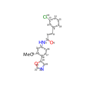 COc1cc(NC(=O)/C=C/c2cccc(Cl)c2)ccc1-c1cnco1